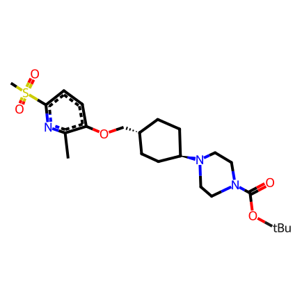 Cc1nc(S(C)(=O)=O)ccc1OC[C@H]1CC[C@H](N2CCN(C(=O)OC(C)(C)C)CC2)CC1